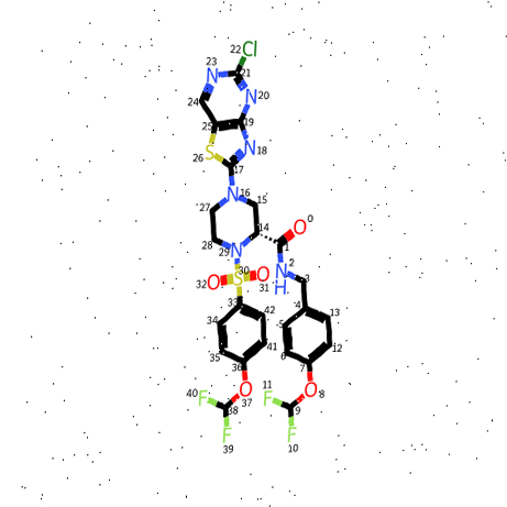 O=C(NCc1ccc(OC(F)F)cc1)[C@H]1CN(c2nc3nc(Cl)ncc3s2)CCN1S(=O)(=O)c1ccc(OC(F)F)cc1